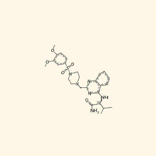 COc1ccc(S(=O)(=O)N2CCN(Cc3nc(N[C@H](C(N)=O)C(C)C)c4ccccc4n3)CC2)cc1OC